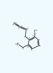 [N-]=[N+]=NCc1c(F)cccc1CF